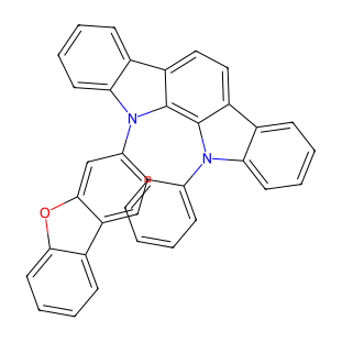 c1ccc(-n2c3ccccc3c3ccc4c5ccccc5n(-c5ccc6c(c5)oc5ccccc56)c4c32)cc1